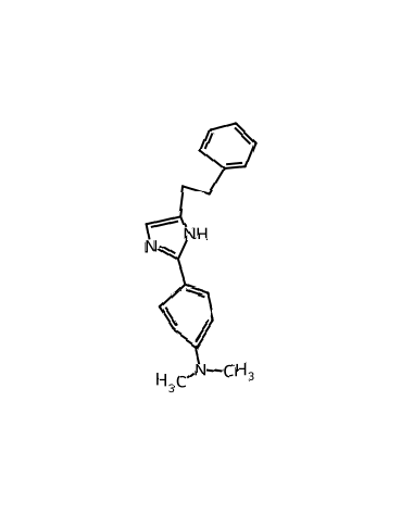 CN(C)c1ccc(-c2ncc(CCc3ccccc3)[nH]2)cc1